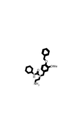 COc1cc(CN(CCN)C(=O)NC2CCCCC2)ccc1OCc1ccccc1